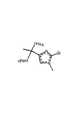 CCCCCCC(C)(CCCCC)c1cn(C)c(Br)n1